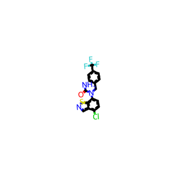 NC(=O)N(Cc1ccc(C(F)(F)F)cc1)c1ccc(Cl)c2cnsc12